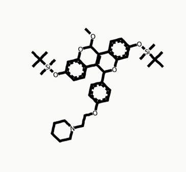 COC1Oc2cc(O[Si](C)(C)C(C)(C)C)ccc2C2=C1c1ccc(O[Si](C)(C)C(C)(C)C)cc1OC2c1ccc(OCCN2CCCCC2)cc1